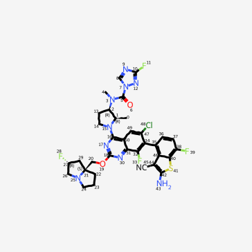 C[C@@H]1[C@H](N(C)C(=O)n2cnc(F)n2)CCN1c1nc(OC[C@@]23CCCN2C[C@H](F)C3)nc2c(F)c(-c3ccc(F)c4sc(N)c(C#N)c34)c(Cl)cc12